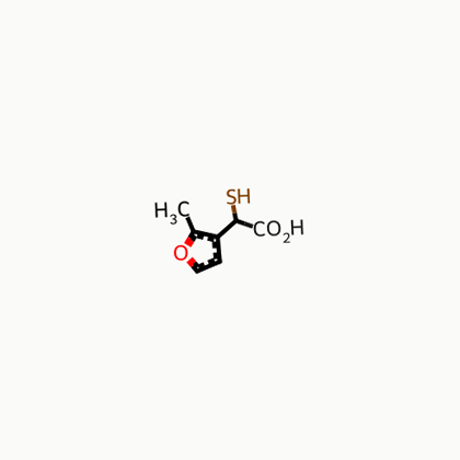 Cc1occc1C(S)C(=O)O